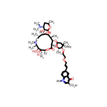 CC[C@H]1OC(=O)[C@H](C)[C@@H](OC2C[C@@](C)(OC)[C@@H](OCCOCC=Cc3ccc4c(c3)c(=O)c(C(=O)O)cn4C(C)C)[C@H](C)O2)[C@H](C)[C@@H](O[C@@H]2O[C@H](C)C[C@H](N(C)C)[C@H]2O)[C@](C)(O)C[C@@H](C)CN(C)[C@H](C)[C@H](O)[C@]1(C)O